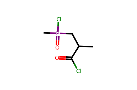 CC(CP(C)(=O)Cl)C(=O)Cl